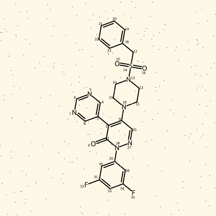 O=c1c(-c2cncnc2)c(N2CCN(S(=O)(=O)Cc3ccccc3)CC2)cnn1-c1cc(F)cc(F)c1